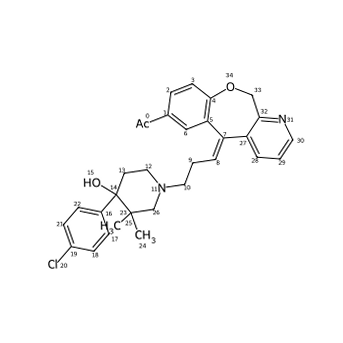 CC(=O)c1ccc2c(c1)C(=CCCN1CCC(O)(c3ccc(Cl)cc3)C(C)(C)C1)c1cccnc1CO2